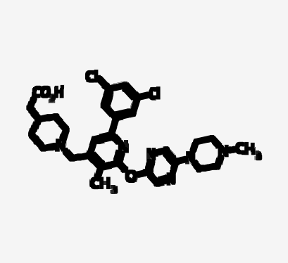 Cc1c(CN2CCC(CC(=O)O)CC2)cc(-c2cc(Cl)cc(Cl)c2)nc1Oc1cnc(N2CCN(C)CC2)cn1